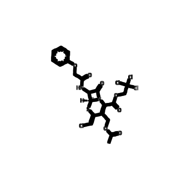 CC(=O)OCC1=C(C(=O)OCC(Cl)(Cl)Cl)N2C(=O)C(NC(=O)COc3ccccc3)[C@@H]2SC1=CCl